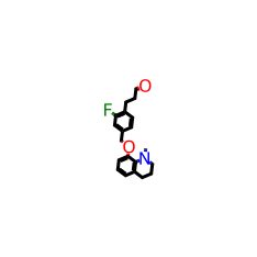 CN1CCCc2cccc(OCc3ccc(CCC=O)c(F)c3)c21